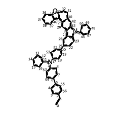 C=Cc1ccc(-c2ccc(N(c3ccccc3)c3ccc(-c4ccc5c(c4)c4cc6c(ccc7oc8ccccc8c76)cc4n5-c4ccccc4)cc3)cc2)cc1